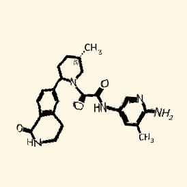 Cc1cc(NC(=O)C(=O)N2C[C@@H](C)CCC2c2ccc3c(c2)CCNC3=O)cnc1N